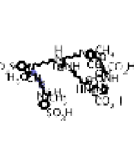 Cc1cccc(C)c1C(=O)OCC(=O)[C@H](CC(=O)O)NC(=O)[C@@H]1CCCN1C(=O)[C@H](CCC(=O)O)NC(=O)CCCCCNC(=O)C(CCCCN)NC(=O)CCCCCN1/C(=C/C=C/C=C/C2=Nc3ccc(S(=O)(=O)O)cc3C2(C)C)C(C)(C)c2cc(S(=O)(=O)O)ccc21